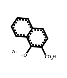 O=C(O)c1ccc2ccccc2c1O.[Zn]